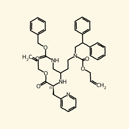 C=CCOC(=O)[C@H](Cc1ccccn1)NC(CCN(CC(c1ccccc1)c1ccccc1)C(=O)OCC=C)CNC(=O)OCc1ccccc1